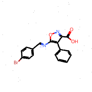 O=C(O)c1noc(/N=C/c2ccc(Br)cc2)c1-c1ccccc1